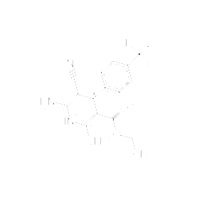 CCOC(=O)C1=C(C)NC(N)=C(C#N)C1c1ccc(C(F)(F)F)cc1